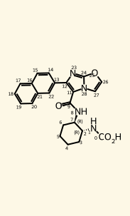 O=C(O)N[C@@H]1CCCC[C@H]1NC(=O)c1c(-c2ccc3ccccc3c2)nc2occn12